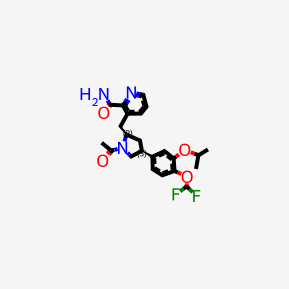 CC(=O)N1C[C@H](c2ccc(OC(F)F)c(OC(C)C)c2)C[C@@H]1Cc1cccnc1C(N)=O